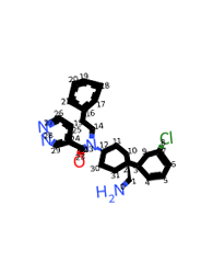 NC[C@]1(C2C=CC=C(Cl)C2)CC[C@H](N(CCc2ccccc2)C(=O)c2ccnnc2)CC1